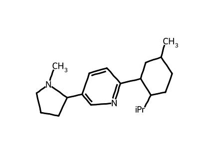 CC1CCC(C(C)C)C(c2ccc(C3CCCN3C)cn2)C1